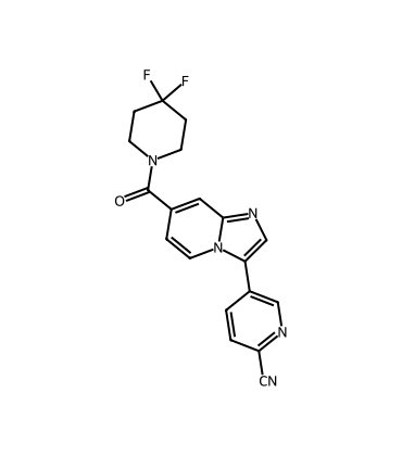 N#Cc1ccc(-c2cnc3cc(C(=O)N4CCC(F)(F)CC4)ccn23)cn1